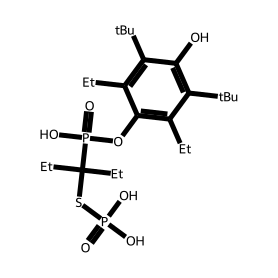 CCc1c(OP(=O)(O)C(CC)(CC)SP(=O)(O)O)c(CC)c(C(C)(C)C)c(O)c1C(C)(C)C